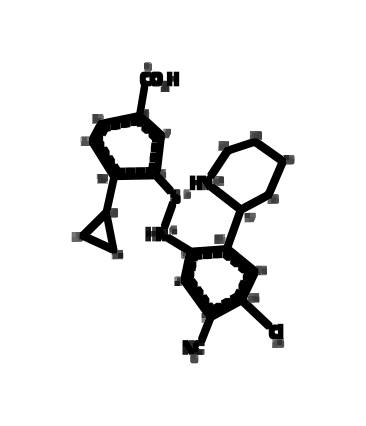 N#Cc1cc(NSc2cc(C(=O)O)ccc2C2CC2)c(C2CCCCN2)cc1Cl